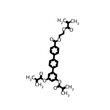 C=C(C)C(=O)OCCOC(=O)c1ccc(-c2ccc(-c3cc(OC(=O)C(=C)C)cc(OC(=O)C(=C)C)c3)cc2)cc1